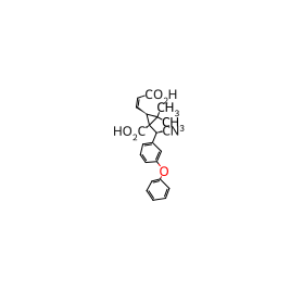 CC1(C)[C@H](/C=C\C(=O)O)[C@@]1(C(=O)O)[C@@H](C#N)c1cccc(Oc2ccccc2)c1